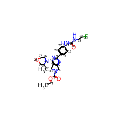 CCOC(=O)N1Cc2nc(-c3ccc(NC(=O)NCCF)cc3)nc(N3CCOC[C@@H]3C)c2C1